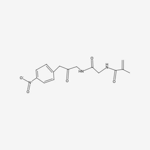 C=C(C)C(=O)NCC(=O)NCC(=O)Cc1ccc([N+](=O)[O-])cc1